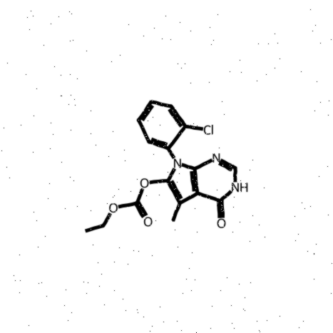 CCOC(=O)Oc1c(C)c2c(=O)[nH]cnc2n1-c1ccccc1Cl